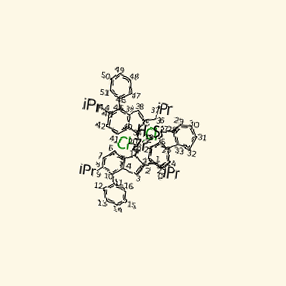 CC(C)CC1=Cc2c(ccc(C(C)C)c2-c2ccccc2)[CH]1[Zr]([Cl])([Cl])([c]1cccc2c1[SiH2]c1ccccc1-2)[CH]1C(CC(C)C)=Cc2c1ccc(C(C)C)c2-c1ccccc1